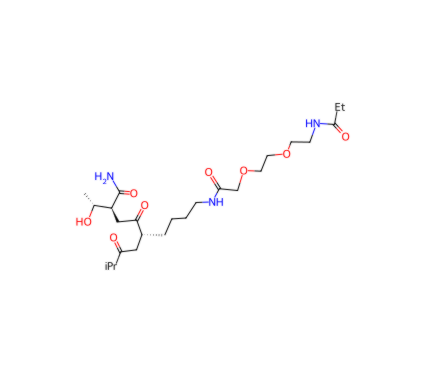 CCC(=O)NCCOCCOCC(=O)NCCCC[C@H](CC(=O)C(C)C)C(=O)C[C@H](C(N)=O)[C@@H](C)O